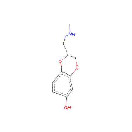 CNCC1COc2cc(O)ccc2O1